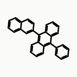 [c]1ccc(-c2c3ccccc3c(-c3ccc4ccccc4c3)c3ccccc23)cc1